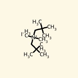 CC(C)(C)C[N+](C)(C)CC(C)(C)C.[I-]